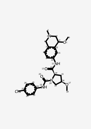 COC1CN(C)Cc2ccc(NC(=O)[C@H]3C[C@@H](OC)CN3C(=O)Nc3ccc(Cl)cc3)cc21